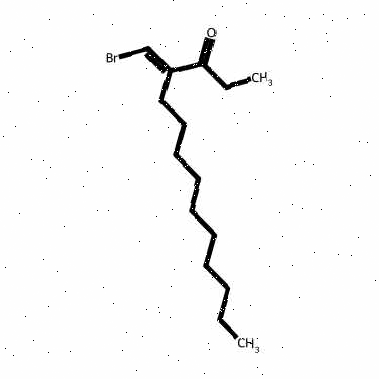 CCCCCCCCCC/C(=C\Br)C(=O)CC